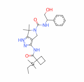 CC[Si](C)(C)C1(C(=O)Nc2n[nH]c3c2CN(C(=O)NC(CO)c2ccccc2)C3(C)C)CCC1